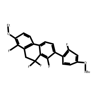 CCCCOc1ccc(-c2ccc3c(c2F)C(F)(F)Cc2c-3ccc(OCC)c2F)c(F)c1